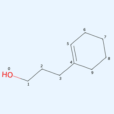 OCCCC1=CCCCC1